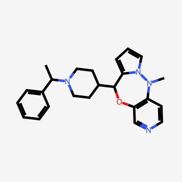 CC(c1ccccc1)N1CCC(C2Oc3cnccc3N(C)n3cccc32)CC1